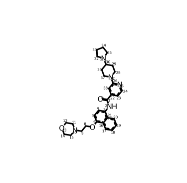 O=C(Nc1ccc(OCCN2CCOCC2)c2ccccc12)c1ccnc(N2CCC(N3CCCC3)CC2)c1